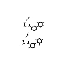 C=CCOC(=O)C(CCC)OC(=O)c1cc(-c2c(F)cc(C(F)(F)F)cc2Cl)ccc1[N+](=O)[O-].C=CCOC(=O)C(CCC)OC(=O)c1cc(-c2c(F)cc(C(F)(F)F)cc2Cl)ccc1[N+](=O)[O-].O